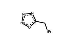 CC(C)Cc1nnno1